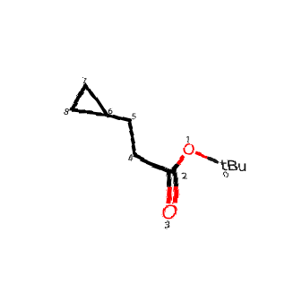 CC(C)(C)OC(=O)CCC1CC1